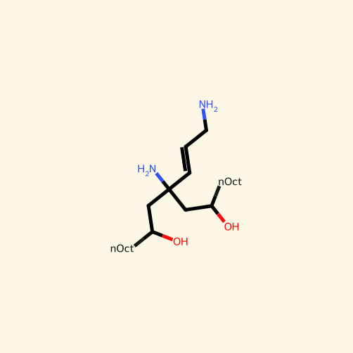 CCCCCCCCC(O)CC(N)(/C=C/CN)CC(O)CCCCCCCC